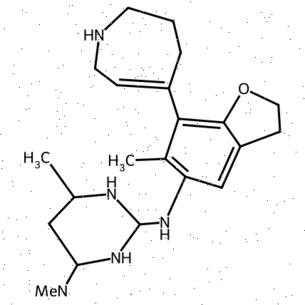 CNC1CC(C)NC(Nc2cc3c(c(C4=CCNCCC4)c2C)OCC3)N1